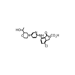 CC(O)C1CN(c2ccc(Nc3ccc(Cl)c4c3C(=O)N(C(=O)O)C4)nc2)CCO1